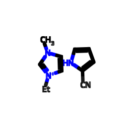 CC[n+]1ccn(C)c1.N#Cc1ccc[nH]1